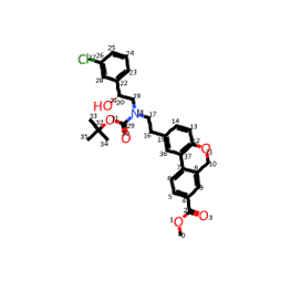 COC(=O)c1ccc2c(c1)COc1ccc(CCN(C[C@H](O)c3cccc(Cl)c3)C(=O)OC(C)(C)C)cc1-2